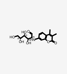 Cc1c(C)c2ccc(N[C@@H](C=O)[C@@H](O)[C@H](O)[C@H](O)CO)cc2oc1=O